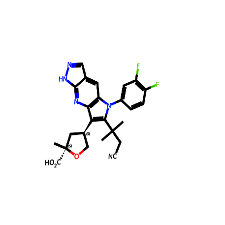 CC(C)(CC#N)c1c([C@H]2CO[C@](C)(C(=O)O)C2)c2nc3[nH]ncc3cc2n1-c1ccc(F)c(F)c1